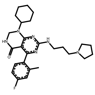 Cc1cc(F)ccc1-c1nc(NCCCN2CCCC2)nc2c1C(=O)NCN2C1CCCCC1